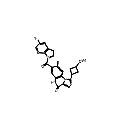 COC1CC(c2ncc3c(=O)[nH]c4cc(C(=O)N5CCc6cc(Br)cnc65)c(C)cc4n23)C1